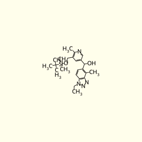 CCn1nnc2c(C)c(C(O)c3cnc(C)c(CO[Si](C)(C)C(C)(C)C)c3)ccc21